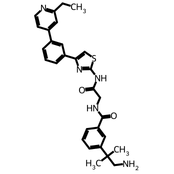 CCc1cc(-c2cccc(-c3csc(NC(=O)CNC(=O)c4cccc(C(C)(C)CN)c4)n3)c2)ccn1